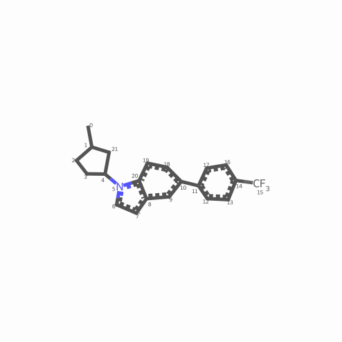 CC1CCC(n2c[c]c3cc(-c4ccc(C(F)(F)F)cc4)ccc32)C1